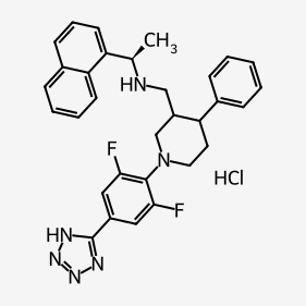 C[C@@H](NCC1CN(c2c(F)cc(-c3nnn[nH]3)cc2F)CCC1c1ccccc1)c1cccc2ccccc12.Cl